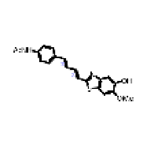 COc1cc2sc(/C=C/C=C/c3ccc(NC(C)=O)cc3)nc2cc1O